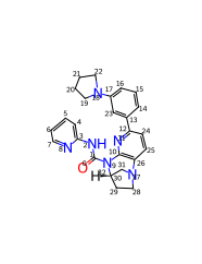 O=C(Nc1ccccn1)N1c2nc(-c3cccc(N4CCCC4)c3)ccc2N2CC[C@H]1C2